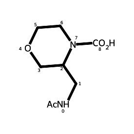 CC(=O)NCC1COCCN1C(=O)O